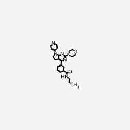 CCCNC(=O)c1cccc(-c2nc(N3CCOCC3)nc3c2CCN3c2ccncc2)c1